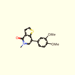 COc1ccc(-c2cn(C)c(=O)c3ccsc23)cc1OC